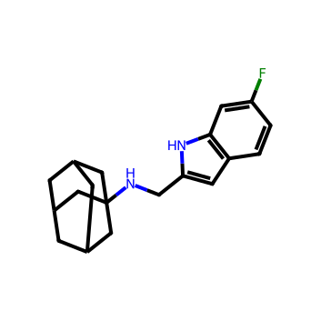 Fc1ccc2cc(CNC34CC5CC(CC(C5)C3)C4)[nH]c2c1